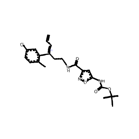 C=C/C=C(/CCNC(=O)c1cc(NC(=O)OC(C)(C)C)on1)c1cc(Cl)ccc1C